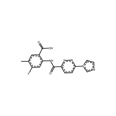 Cc1cc(C(=O)O)c(NC(=O)c2ccc(-n3ccnc3)nn2)cc1F